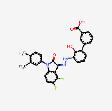 Cc1ccc(N2C(=O)C(=NNc3cccc(-c4cccc(C(=O)O)c4)c3O)c3c2ccc(F)c3F)cc1C